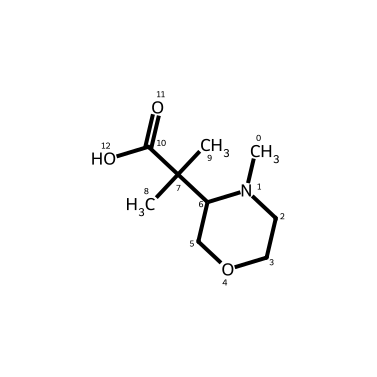 CN1CCOCC1C(C)(C)C(=O)O